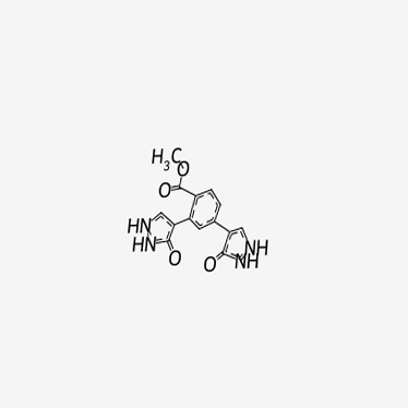 COC(=O)c1ccc(-c2c[nH][nH]c2=O)cc1-c1c[nH][nH]c1=O